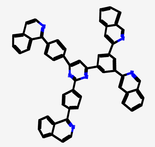 c1ccc2cc(-c3cc(-c4cc5ccccc5cn4)cc(-c4cc(-c5ccc(-c6nccc7ccccc67)cc5)nc(-c5ccc(-c6nccc7ccccc67)cc5)n4)c3)ncc2c1